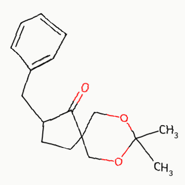 CC1(C)OCC2(CCC(Cc3ccccc3)C2=O)CO1